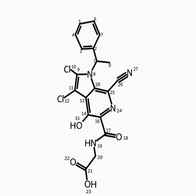 CC(c1ccccc1)n1c(Cl)c(Cl)c2c(O)c(C(=O)NCC(=O)O)nc(C#N)c21